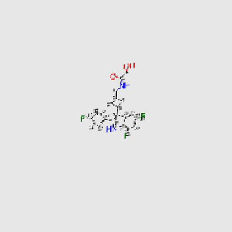 O=C(CO)NC[C@H]1C[C@@H](c2c(-c3ccc(F)cc3)[nH]c3c(F)cc(F)cc32)C1